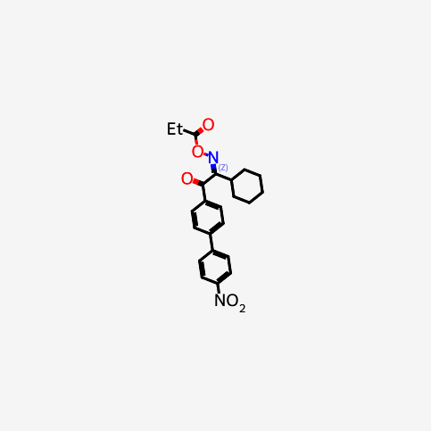 CCC(=O)O/N=C(\C(=O)c1ccc(-c2ccc([N+](=O)[O-])cc2)cc1)C1CCCCC1